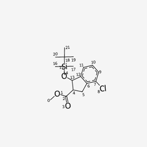 COC(=O)C1Cc2c(Cl)cccc2C1O[Si](C)(C)C(C)(C)C